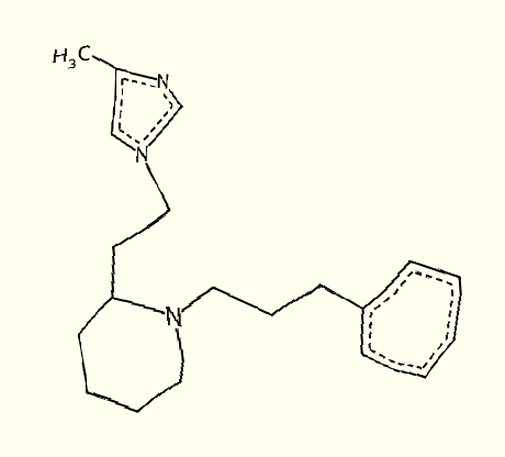 Cc1cn(CCC2CCCCN2CCCc2ccccc2)cn1